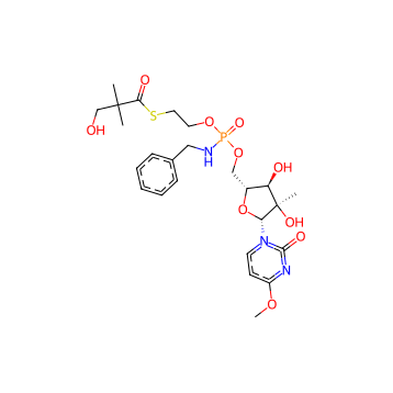 COc1ccn([C@@H]2O[C@H](COP(=O)(NCc3ccccc3)OCCSC(=O)C(C)(C)CO)[C@@H](O)[C@@]2(C)O)c(=O)n1